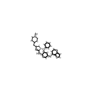 CC(=O)N1CCC(CC2CSC(Nc3ncc(Sc4ccnc5ccsc45)cc3Oc3ccccc3)=N2)CC1